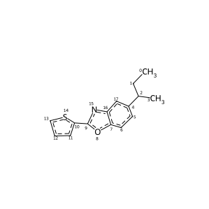 CCC(C)c1ccc2oc(-c3cccs3)nc2c1